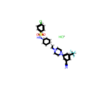 Cl.N#Cc1cc(N2CCN(CC[C@H]3CC[C@H](NS(=O)(=O)c4ccc(Cl)cc4)CC3)CC2)cc(C(F)(F)F)c1